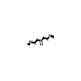 C=NCCNCCN=C